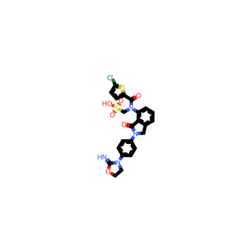 N=C1OCCN1c1ccc(N2Cc3cccc(N(CS(=O)(=O)O)C(=O)c4ccc(Cl)s4)c3C2=O)cc1